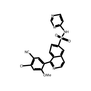 COc1cc(Cl)c(C#N)cc1-c1nccc2cc(S(=O)(=O)Nc3ccncn3)ccc12